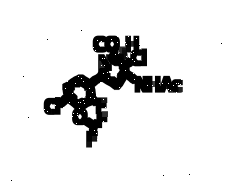 CC(=O)Nc1cc(-c2ccc(Cl)c(OC(F)F)c2F)nc(C(=O)O)c1Cl